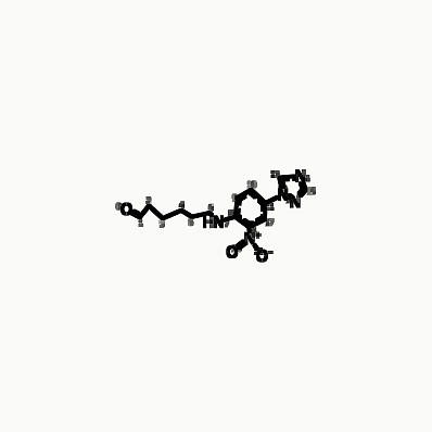 O=CCCCCCNc1ccc(-n2cncn2)cc1[N+](=O)[O-]